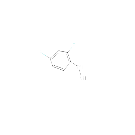 CBc1ccc(F)cc1F